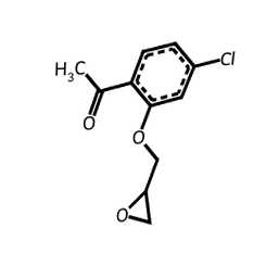 CC(=O)c1ccc(Cl)cc1OCC1CO1